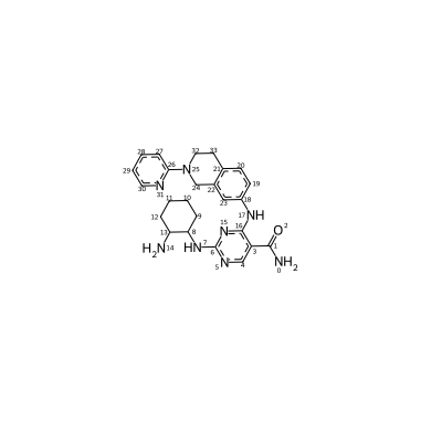 NC(=O)c1cnc(NC2CCCCC2N)nc1Nc1ccc2c(c1)CN(c1ccccn1)CC2